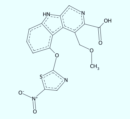 COCc1c(C(=O)O)ncc2[nH]c3cccc(Oc4ncc([N+](=O)[O-])s4)c3c12